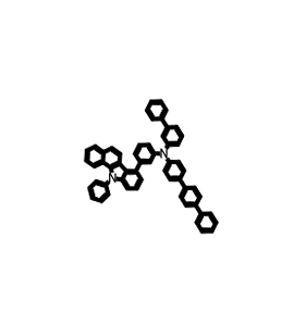 c1ccc(-c2ccc(-c3ccc(N(c4cccc(-c5ccccc5)c4)c4cccc(-c5cccc6c5c5ccc7ccccc7c5n6-c5ccccc5)c4)cc3)cc2)cc1